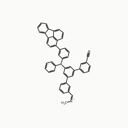 C/N=C\c1cccc(-c2cc(-c3cccc(C#N)c3)cc(N(c3ccccc3)c3cccc(-c4ccc5c6c(cccc46)-c4ccccc4-5)c3)c2)c1